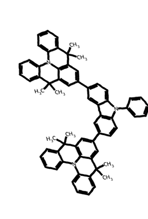 CC1(C)c2ccccc2N2c3ccccc3C(C)(C)c3cc(-c4ccc5c(c4)c4cc(-c6cc7c8c(c6)C(C)(C)c6ccccc6N8c6ccccc6C7(C)C)ccc4n5-c4ccccc4)cc1c32